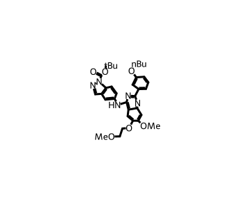 CCCCOc1cccc(-c2nc(Nc3ccc4c(cnn4C(=O)OC(C)(C)C)c3)c3cc(OCCOC)c(OC)cc3n2)c1